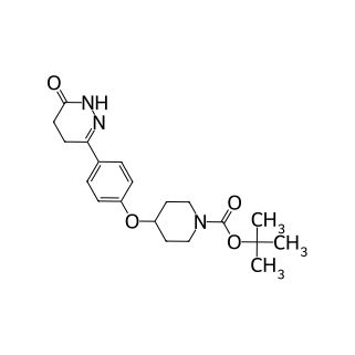 CC(C)(C)OC(=O)N1CCC(Oc2ccc(C3=NNC(=O)CC3)cc2)CC1